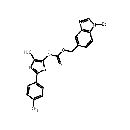 CCn1cnc2cc(COC(=O)Nc3sc(-c4ccc(C(F)(F)F)cc4)nc3C)ccc21